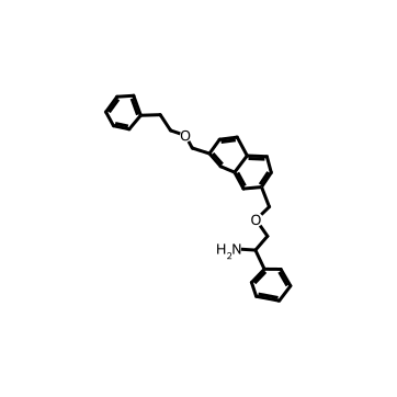 NC(COCc1ccc2ccc(COCCc3ccccc3)cc2c1)c1ccccc1